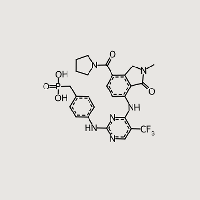 CN1Cc2c(C(=O)N3CCCC3)ccc(Nc3nc(Nc4ccc(CP(=O)(O)O)cc4)ncc3C(F)(F)F)c2C1=O